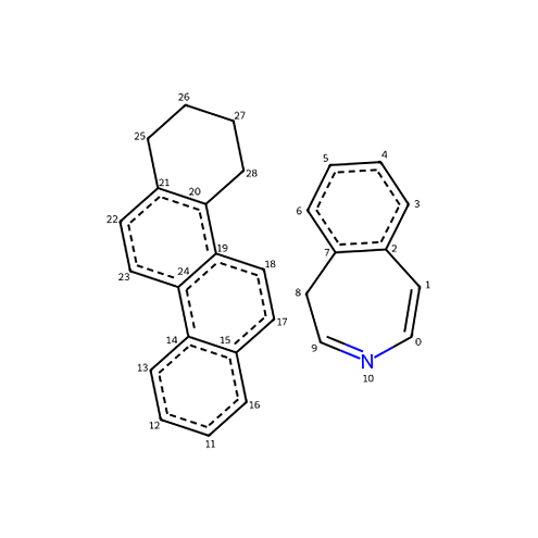 C1=Cc2ccccc2CC=N1.c1ccc2c(c1)ccc1c3c(ccc12)CCCC3